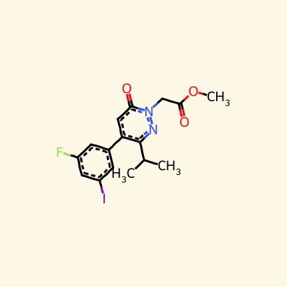 COC(=O)Cn1nc(C(C)C)c(-c2cc(F)cc(I)c2)cc1=O